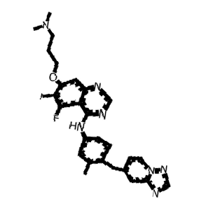 Cc1cc(Nc2ncnc3cc(OCCCN(C)C)c(I)c(F)c23)ccc1Cc1ccn2ncnc2c1